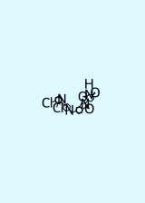 O=C1CCC(N2Cc3cc(CN4CC=C(c5nccc(Cl)c5Cl)CC4)ccc3C2=O)C(=O)N1